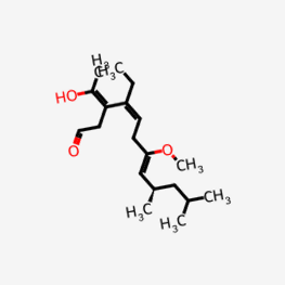 CCC(=C/C/C(=C/[C@H](C)CC(C)C)OC)/C(CC=O)=C(\C)O